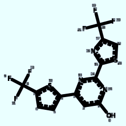 Oc1cc(-c2ccc(C(F)(F)F)s2)nc(-c2nc(C(F)(F)F)cs2)n1